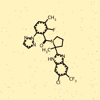 Cc1ccc(-n2nccn2)c(C(=O)N2CCCC2(C)c2nc3cc(C(F)(F)F)c(Cl)cc3[nH]2)c1F